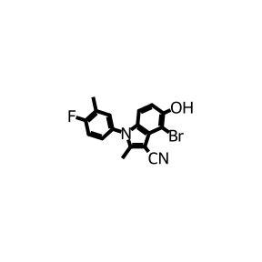 Cc1cc(-n2c(C)c(C#N)c3c(Br)c(O)ccc32)ccc1F